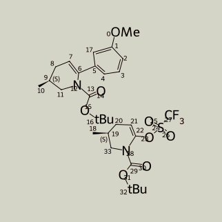 COc1cccc(C2=CC[C@H](C)CN2C(=O)OC(C)(C)C)c1.C[C@H]1CC=C(OS(=O)(=O)C(F)(F)F)N(C(=O)OC(C)(C)C)C1